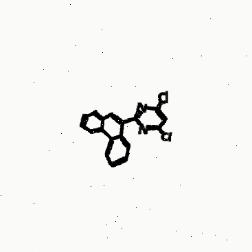 Clc1cc(Cl)nc(-c2cc3ccccc3c3ccccc23)n1